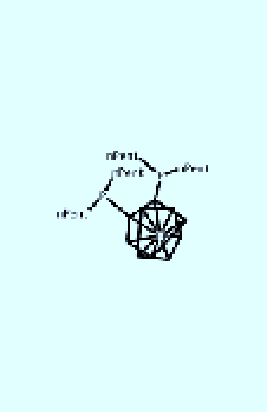 CCCCCP(CCCCC)[C]12[CH]3[CH]4[CH]5[C]1(P(CCCCC)CCCCC)[Fe]43521678[CH]2[CH]1[CH]6[CH]7[CH]28